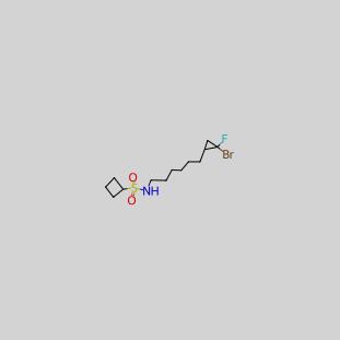 O=S(=O)(NCCCCCCC1CC1(F)Br)C1CCC1